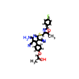 Cc1oc(-c2ccc(F)cc2)nc1CSc1nc(N)c(C#N)c(-c2ccc(OC[C@H](C)O)cc2)c1C#N